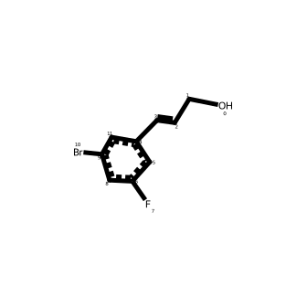 OCC=Cc1cc(F)cc(Br)c1